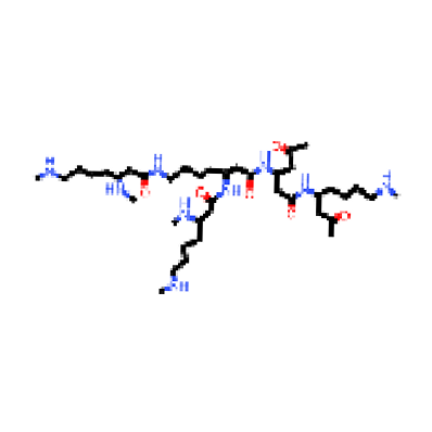 CNCCCCC(CC(=O)NCCCCC(CC(=O)NC(CC(C)=O)CC(=O)NC(CCCCNC)CC(C)=O)NC(=O)CC(CCCCNC)NC)NC